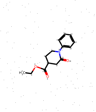 CCOC(=O)C1CCN(c2ccccc2)C(=O)C1